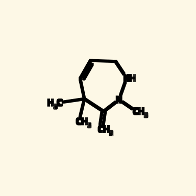 C=C1N(C)NCC=CC1(C)C